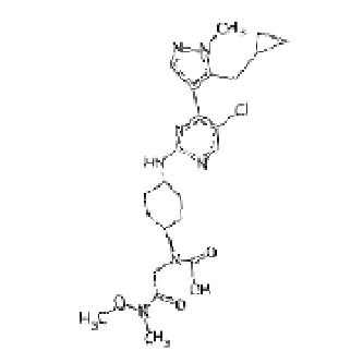 CON(C)C(=O)CN(C(=O)O)[C@H]1CC[C@H](Nc2ncc(Cl)c(-c3cnn(C)c3CC3CC3)n2)CC1